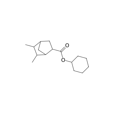 CC1C2CC(C(=O)OC3CCCCC3)C(C2)C1C